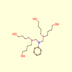 OCCCCP(CCCCO)CN(CP(CCCCO)CCCCO)c1ccccc1